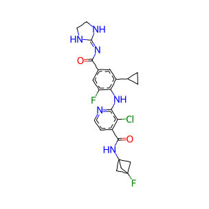 O=C(N=C1NCCN1)c1cc(F)c(Nc2nccc(C(=O)NC34CC(F)(C3)C4)c2Cl)c(C2CC2)c1